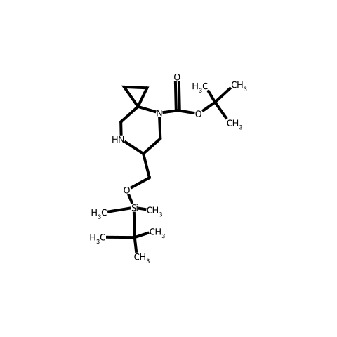 CC(C)(C)OC(=O)N1CC(CO[Si](C)(C)C(C)(C)C)NCC12CC2